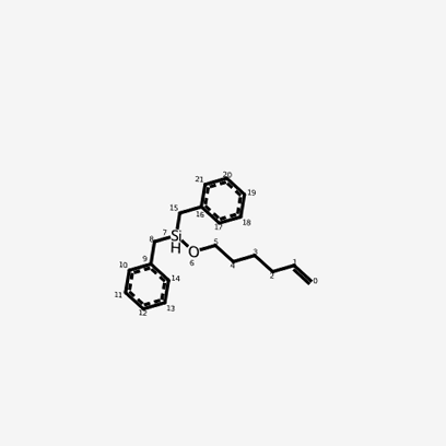 C=CCCCCO[SiH](Cc1ccccc1)Cc1ccccc1